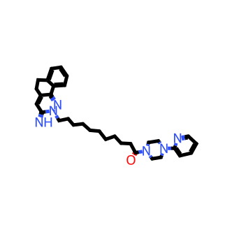 N=c1cc2c(nn1CCCCCCCCCCC(=O)N1CCN(c3ccccn3)CC1)-c1ccccc1CC2